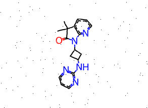 CC1(C)C(=O)N(C2CC(Nc3ncccn3)C2)c2ncccc21